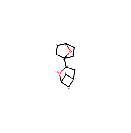 C1[C]2CC1CC(C13CCC(CC1)O3)O2